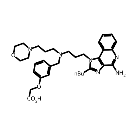 CCCCc1nc2c(N)nc3ccccc3c2n1CCCN(CCCN1CCOCC1)Cc1cccc(OCC(=O)O)c1